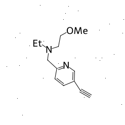 C#Cc1ccc(CN(CC)CCOC)nc1